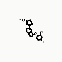 CCOC(=O)c1cccc(-c2ccc3c(c2)C(Oc2ccc(Cl)cc2Cl)CC3)c1